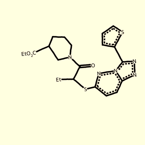 CCOC(=O)C1CCCN(C(=O)C(CC)Sc2ccc3nnc(-c4cccs4)n3n2)C1